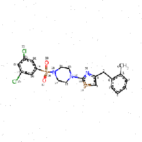 Cc1ccccc1Cc1csc(N2CCN(S(=O)(=O)c3cc(Cl)cc(Cl)c3)CC2)n1